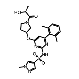 Cc1cccc(C)c1-c1cc(OC2CCN(C(=O)[C@H](C)O)C2)nc(NS(=O)(=O)c2cnn(C)c2)n1